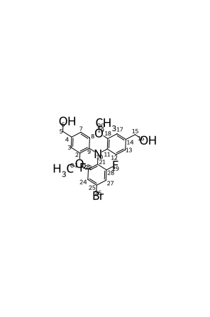 COc1cc(CO)ccc1N(c1ccc(CO)cc1OC)c1c(F)cc(Br)cc1F